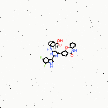 O=C1Nc2ccccc2Oc2cc(-c3cc(N[C@@H]4C5CCC(CC5)[C@H]4C(=O)O)nc(-c4c[nH]c5c(F)cc(F)cc45)n3)ccc21